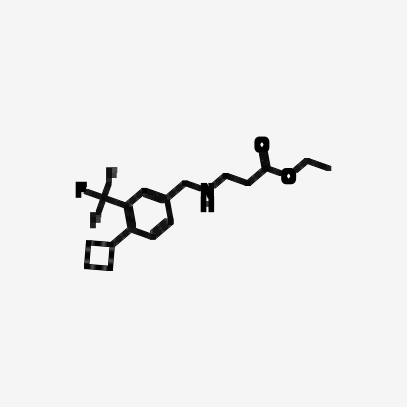 CCOC(=O)CCNCc1ccc(C2CCC2)c(C(F)(F)F)c1